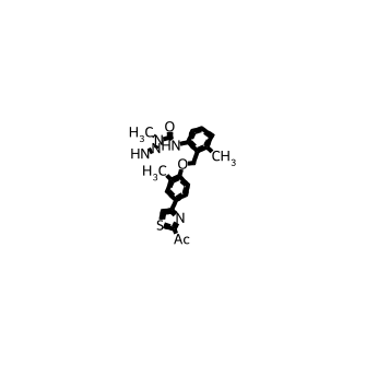 CC(=O)c1nc(-c2ccc(OCc3c(C)cccc3NC(=O)N(C)N=N)c(C)c2)cs1